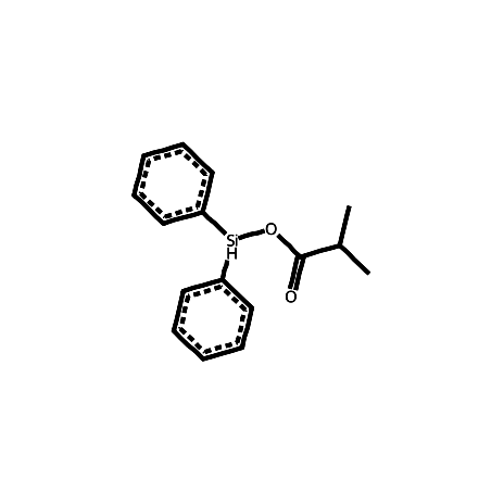 CC(C)C(=O)O[SiH](c1ccccc1)c1ccccc1